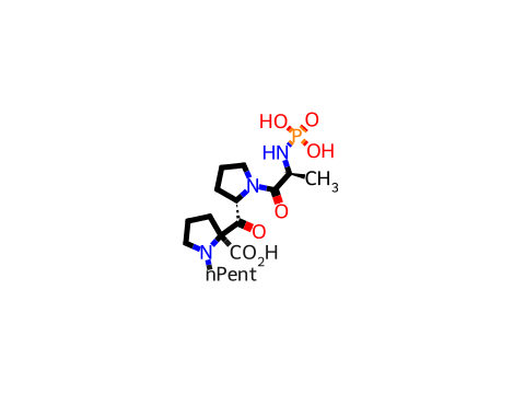 CCCCCN1CCCC1(C(=O)O)C(=O)[C@@H]1CCCN1C(=O)[C@H](C)NP(=O)(O)O